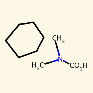 C1CCCCC1.CN(C)C(=O)O